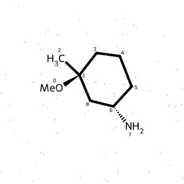 CO[C@@]1(C)CCC[C@H](N)C1